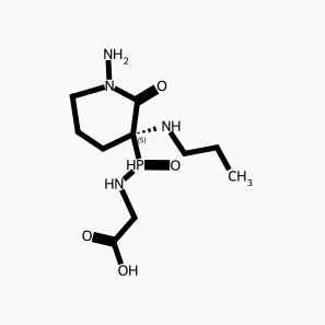 CCCN[C@]1([PH](=O)NCC(=O)O)CCCN(N)C1=O